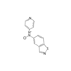 [O-][NH+](c1ccncc1)c1ccc2sncc2c1